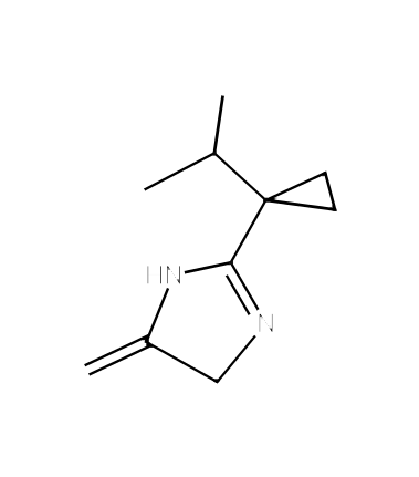 C=C1CN=C(C2(C(C)C)CC2)N1